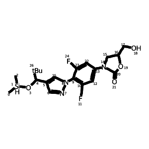 C[SiH](C)OC(c1cnn(-c2c(F)cc(N3CC(CO)OC3=O)cc2F)c1)C(C)(C)C